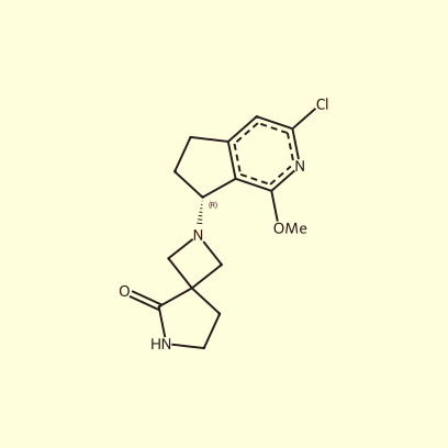 COc1nc(Cl)cc2c1[C@H](N1CC3(CCNC3=O)C1)CC2